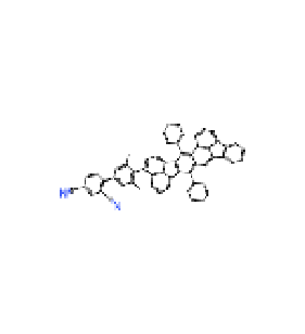 Cc1cc(-c2ccc(C#N)cc2C#N)cc(C)c1-c1ccc2c3c(-c4ccccc4)c4c(cc5c6ccccc6c6cccc4c65)c(-c4ccccc4)c3c3cccc1c32